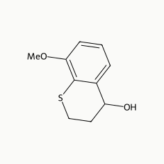 COc1cccc2c1SCCC2O